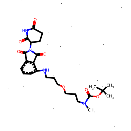 CN(CCCOCCCNc1cccc2c1C(=O)N(C1CCC(=O)NC1=O)C2=O)C(=O)OC(C)(C)C